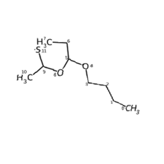 CCCCOC(CC)OC(C)[S]